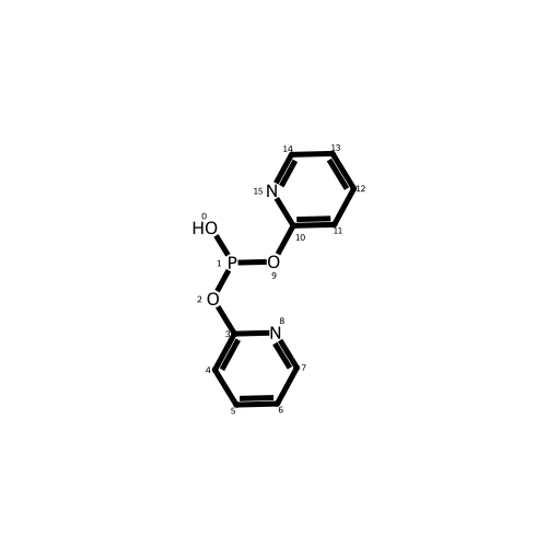 OP(Oc1ccccn1)Oc1ccccn1